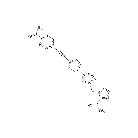 C[C@H](O)c1nccn1Cc1cc(-c2ccc(C#Cc3ccc(C(N)=O)nc3)cc2)on1